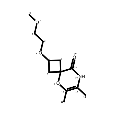 COCCOC1CC2(C1)OC(C)=C(C)NC2=O